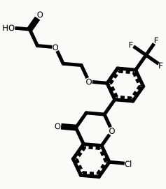 O=C(O)COCCOc1cc(C(F)(F)F)ccc1C1CC(=O)c2cccc(Cl)c2O1